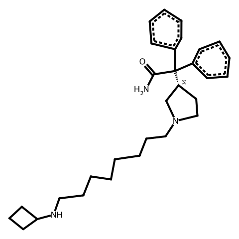 NC(=O)C(c1ccccc1)(c1ccccc1)[C@@H]1CCN(CCCCCCCCNC2CCC2)C1